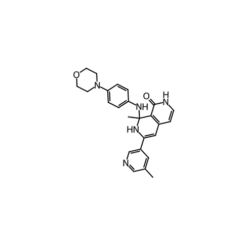 Cc1cncc(C2=Cc3cc[nH]c(=O)c3C(C)(Nc3ccc(N4CCOCC4)cc3)N2)c1